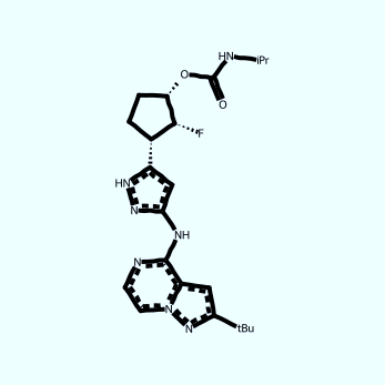 CC(C)NC(=O)O[C@H]1CC[C@@H](c2cc(Nc3nccn4nc(C(C)(C)C)cc34)n[nH]2)[C@H]1F